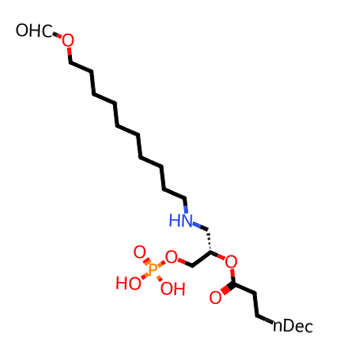 CCCCCCCCCCCCC(=O)O[C@@H](CNCCCCCCCCCCOC=O)COP(=O)(O)O